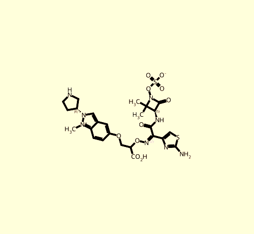 C[n+]1c2ccc(OCC(O/N=C(\C(=O)N[C@@H]3C(=O)N(OS(=O)(=O)[O-])C3(C)C)c3csc(N)n3)C(=O)O)cc2cn1[C@@H]1CCNC1